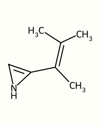 CC(C)=C(C)C1=CN1